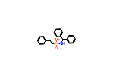 O=P(O)(CCc1ccccc1)NC(c1ccccc1)c1ccccc1